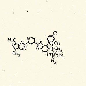 Cc1cc2nc(-c3ccnc(-c4ncc5c(n4)c(C)nn5C)c3)sc2c(-c2ccc(Cl)cc2)c1[C@](C)(OC(C)(C)C)C(=O)O